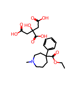 CCOC(=O)C1(c2ccccc2)CCCN(C)CC1.O=C(O)CC(O)(CC(=O)O)C(=O)O